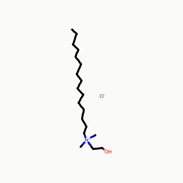 CCCCCCCCCCCCCCC[N+](C)(C)CCO.[Cl-]